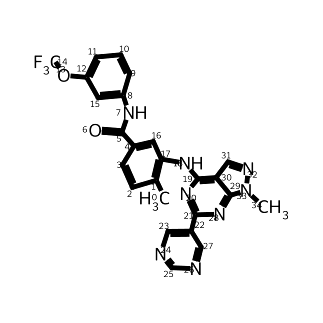 Cc1ccc(C(=O)Nc2cccc(OC(F)(F)F)c2)cc1Nc1nc(-c2cncnc2)nc2c1cnn2C